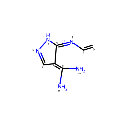 C=C/N=C1/NN=CC1=C(N)N